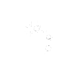 Cc1nc(NCc2cnn(Cc3ccc(F)cc3)c2)nc2c1NC(=O)C1(CC1)N2